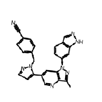 Cc1nn(-c2ccc3cn[nH]c3c2)c2cc(-c3ccnn3Cc3ccc(C#N)cc3)cnc12